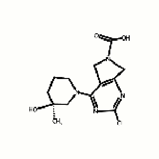 C[C@]1(O)CCCN(c2nc(Cl)nc3c2CN(C(=O)O)C3)C1